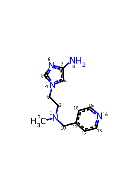 CN(CCn1cnc(N)c1)Cc1ccncc1